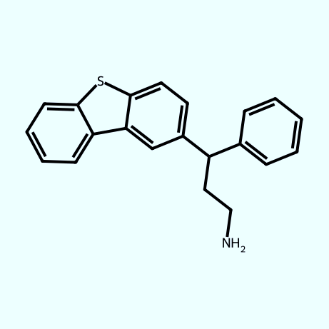 NCCC(c1ccccc1)c1ccc2sc3ccccc3c2c1